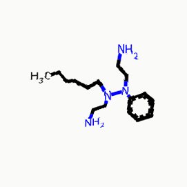 CCCCCCN(CCN)N(CCN)c1ccccc1